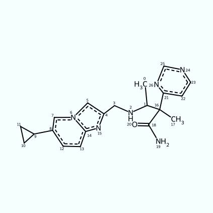 CC(NCc1cn2cc(C3CC3)ccc2n1)C(C)(C(N)=O)c1ccncn1